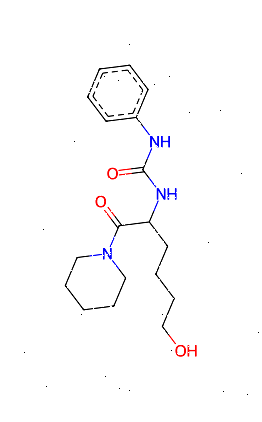 O=C(Nc1ccccc1)NC(CCCCO)C(=O)N1CCCCC1